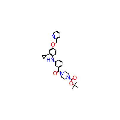 CC(C)(C)OC(=O)N1CCN(C(=O)c2cccc(Nc3ccc(OCc4ccccn4)cc3C3CC3)c2)CC1